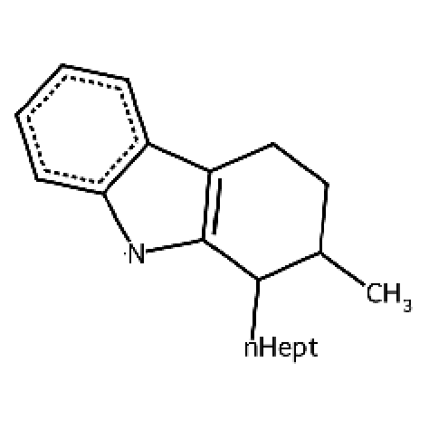 CCCCCCCC1C2=C(CCC1C)c1ccccc1[N]2